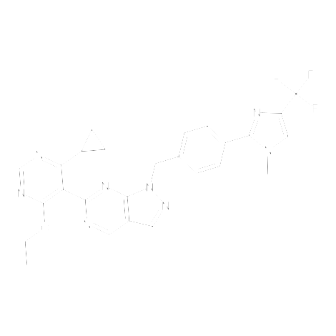 CCOc1ncnc(C2CC2)c1-c1ncc2cnn(Cc3ccc(-c4nc(C(F)(F)F)cn4C)cc3)c2n1